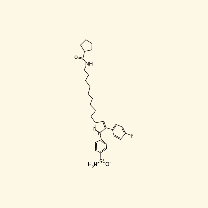 N[S+]([O-])c1ccc(-n2nc(CCCCCCCCCNC(=O)C3CCCC3)cc2-c2ccc(F)cc2)cc1